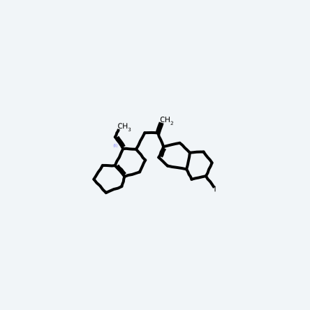 C=C(CC1CCC2=C(CCCC2)/C1=C/C)C1=CCC2CC(I)CCC2C1